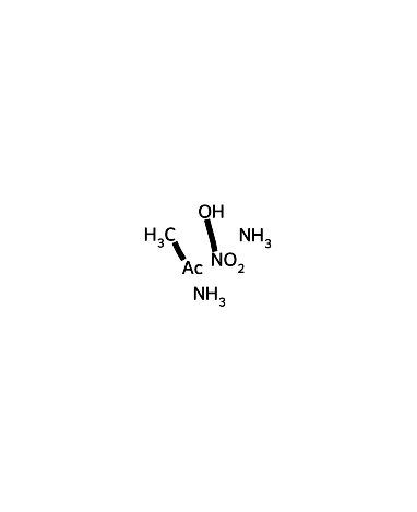 CC(C)=O.N.N.O=[N+]([O-])O